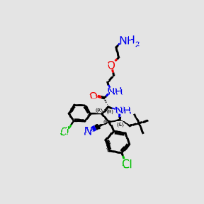 CC(C)(C)C[C@@H]1N[C@@H](C(=O)NCCOCCN)[C@H](c2cccc(Cl)c2)[C@@]1(C#N)c1ccc(Cl)cc1